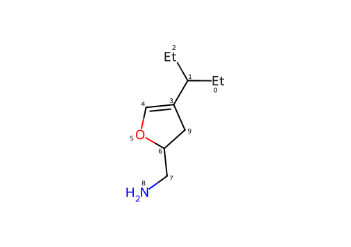 CCC(CC)C1=COC(CN)C1